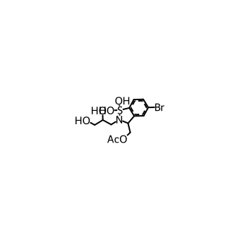 CC(=O)OCC1c2cc(Br)ccc2S(O)(O)N1CC(O)CO